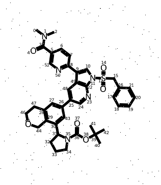 CN(C)C(=O)c1ccc(-c2cn(S(=O)(=O)Cc3ccccc3)c3ncc(-c4cc5c(c(C6CCCN6C(=O)OC(C)(C)C)c4)COCC5)cc23)nc1